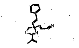 C=C(C)C1=NC(C=CC#N)(C=Cc2ccccc2)CO1